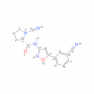 CN(C(=O)[C@@H]1CCCN1C#N)c1cc(-c2cccc(C#N)c2)on1